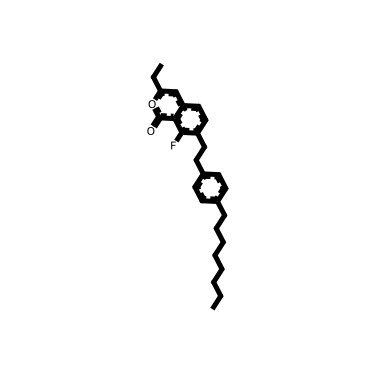 CCCCCCCCc1ccc(CCc2ccc3cc(CC)oc(=O)c3c2F)cc1